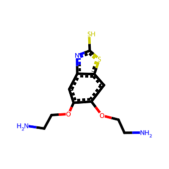 NCCOc1cc2nc(S)sc2cc1OCCN